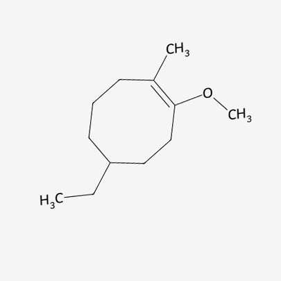 CCC1CCCC(C)=C(OC)CC1